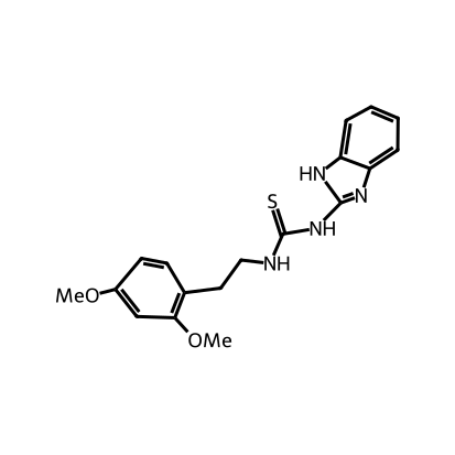 COc1ccc(CCNC(=S)Nc2nc3ccccc3[nH]2)c(OC)c1